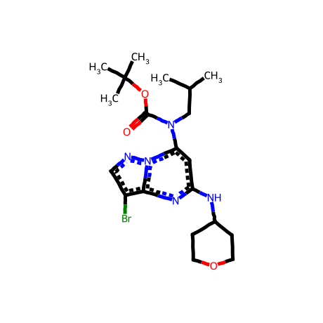 CC(C)CN(C(=O)OC(C)(C)C)c1cc(NC2CCOCC2)nc2c(Br)cnn12